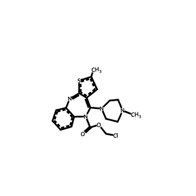 Cc1cc2c(s1)=Nc1ccccc1N(C(=O)OCCl)C=2N1CCN(C)CC1